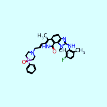 Cc1ccc(F)cc1Nc1nc2ccc3c(C)c(C=CCN4CCP(=O)(c5ccccc5)CC4)[nH]c(=O)c3c2n1C